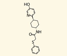 O=C(CSc1ccccc1)N[C@H]1CC[C@H](c2ccc(O)cn2)CC1